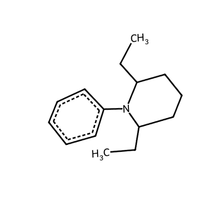 CCC1CCCC(CC)N1c1ccccc1